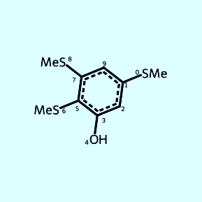 CSc1cc(O)c(SC)c(SC)c1